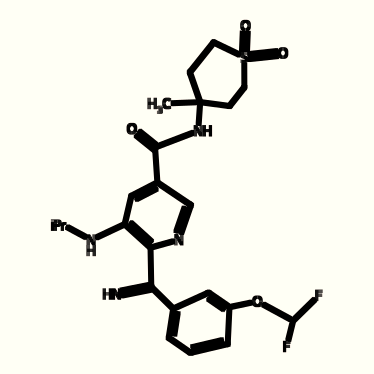 CC(C)Nc1cc(C(=O)NC2(C)CCS(=O)(=O)CC2)cnc1C(=N)c1cccc(OC(F)F)c1